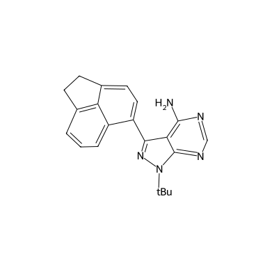 CC(C)(C)n1nc(-c2ccc3c4c(cccc24)CC3)c2c(N)ncnc21